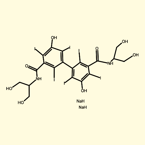 O=C(NC(CO)CO)c1c(I)c(O)c(I)c(-c2c(I)c(O)c(I)c(C(=O)NC(CO)CO)c2I)c1I.[NaH].[NaH]